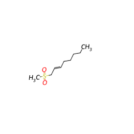 CCCCCC=CCS(C)(=O)=O